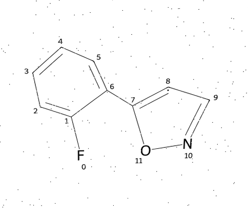 Fc1ccccc1-c1[c]cno1